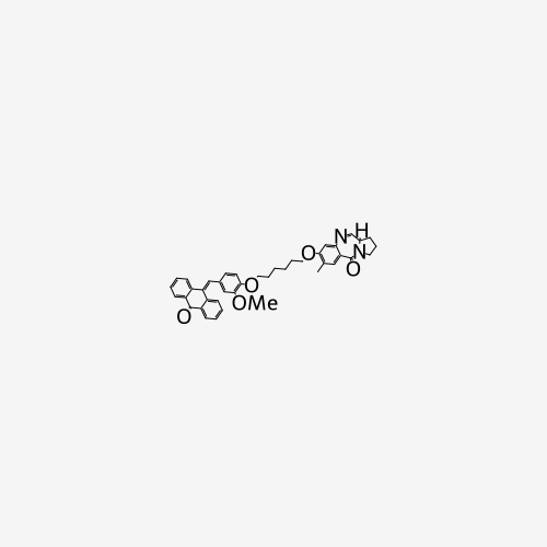 COc1cc(C=C2c3ccccc3C(=O)c3ccccc32)ccc1OCCCCCCOc1cc2c(cc1C)C(=O)N1CCC[C@H]1C=N2